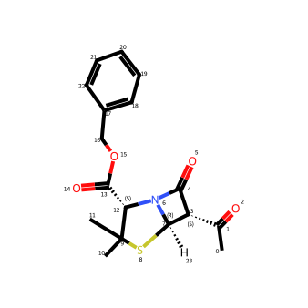 CC(=O)[C@H]1C(=O)N2[C@@H]1SC(C)(C)[C@@H]2C(=O)OCc1ccccc1